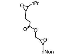 CCCCCCCCCC1OC1COC(=O)CCC1OC1CCC